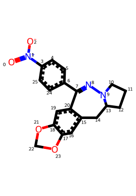 O=[N+]([O-])c1ccc(C2=NN3CCCC3Cc3cc4c(cc32)OCO4)cc1